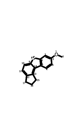 COc1ccc2c(c1)sc1ccc3c(c12)CCC3